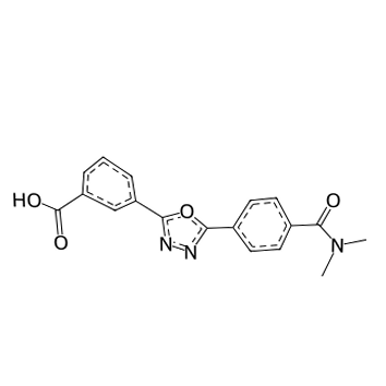 CN(C)C(=O)c1ccc(-c2nnc(-c3cccc(C(=O)O)c3)o2)cc1